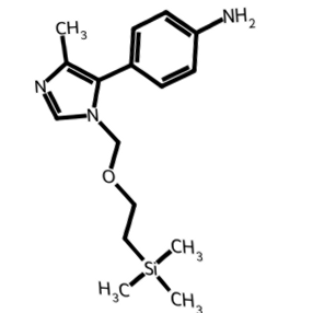 Cc1ncn(COCC[Si](C)(C)C)c1-c1ccc(N)cc1